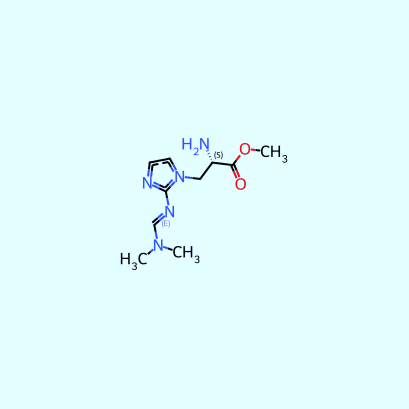 COC(=O)[C@@H](N)Cn1ccnc1/N=C/N(C)C